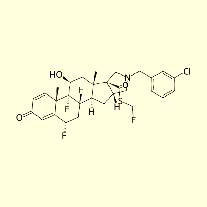 C[C@]12C=CC(=O)C=C1[C@@H](F)C[C@H]1[C@@H]3C[C@H]4CN(Cc5cccc(Cl)c5)C[C@@]4(C(=O)SCF)[C@@]3(C)C[C@H](O)[C@@]12F